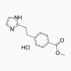 COC(=O)c1ccc(CCc2ncc[nH]2)cc1.Cl